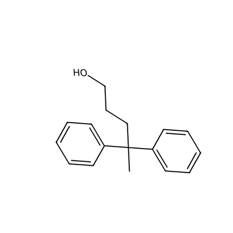 CC(CCCO)(c1ccccc1)c1ccccc1